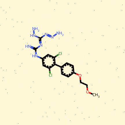 COCCOc1ccc(-c2c(Cl)cc(NC(=N)/N=C(/N=NN)NN)cc2Cl)cc1